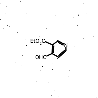 CCOC(=O)c1cnccc1C=O